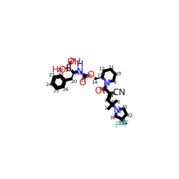 CC(C)(/C=C(\C#N)C(=O)N1CCCC[C@@H]1COC(=O)N[C@@H](Cc1ccccc1)B(O)O)N1CCC(F)(F)C1